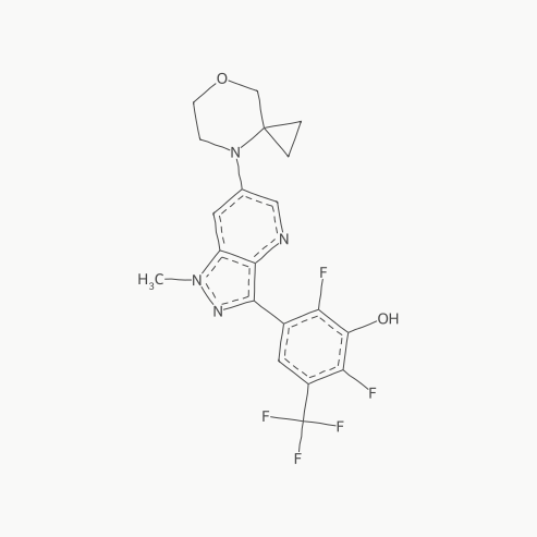 Cn1nc(-c2cc(C(F)(F)F)c(F)c(O)c2F)c2ncc(N3CCOCC34CC4)cc21